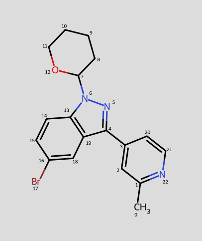 Cc1cc(-c2nn(C3CCCCO3)c3ccc(Br)cc23)ccn1